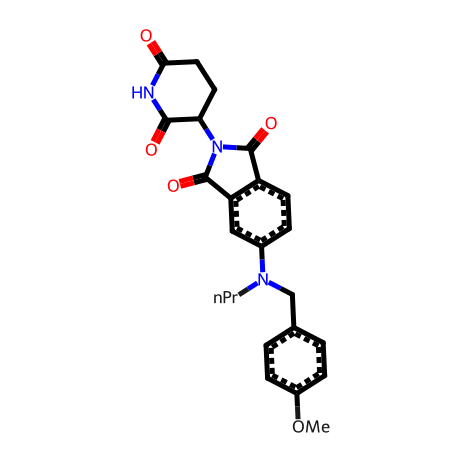 CCCN(Cc1ccc(OC)cc1)c1ccc2c(c1)C(=O)N(C1CCC(=O)NC1=O)C2=O